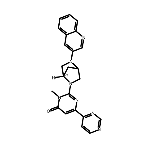 Cn1c(N2CC3C[C@H]2CN3c2cnc3ccccc3c2)nc(-c2ccncn2)cc1=O